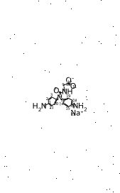 Nc1ccc(N(C(=O)NCC(=O)[O-])c2ccc(N)cc2)cc1.[Na+]